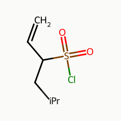 C=CC(CC(C)C)S(=O)(=O)Cl